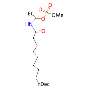 CCCCCCCCCCCCCCCCCC(=O)NC(CC)OS(=O)(=O)OC